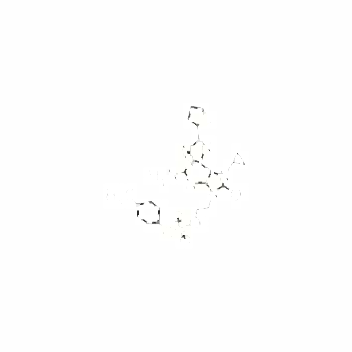 Cc1ccc(OS(=O)(=O)OCCn2c(=O)n(C3CC3)c3c2nc(N)n2nc(-c4ccco4)nc32)cc1